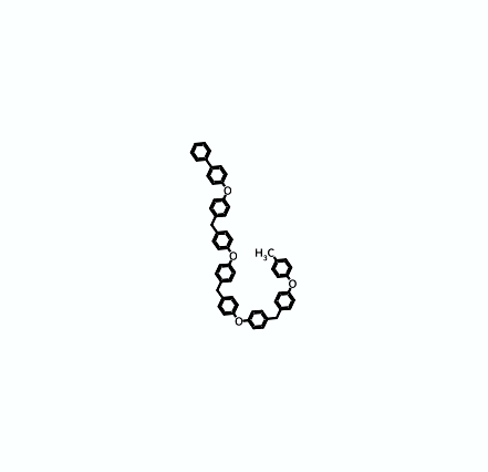 Cc1ccc(Oc2ccc(Cc3ccc(Oc4ccc(Cc5ccc(Oc6ccc(Cc7ccc(Oc8ccc(-c9ccccc9)cc8)cc7)cc6)cc5)cc4)cc3)cc2)cc1